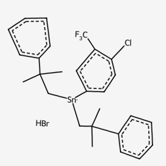 Br.CC(C)([CH2][Sn]([CH2]C(C)(C)c1ccccc1)[c]1ccc(Cl)c(C(F)(F)F)c1)c1ccccc1